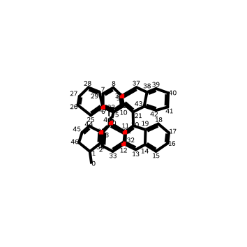 CC1C=C(P(c2ccccc2)c2ccc3ccccc3c2-c2c(P(c3ccccc3)c3ccccc3)ccc3ccccc23)C=CC1